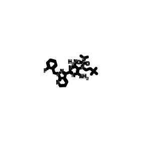 CN(C)S(=O)(=O)N(CCC(C)(C)C)c1c(N)nc(-c2nn(Cc3ccccc3F)c3ncccc23)nc1N